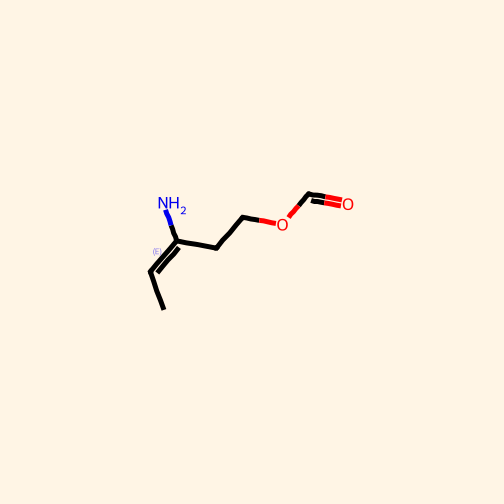 C/C=C(/N)CCOC=O